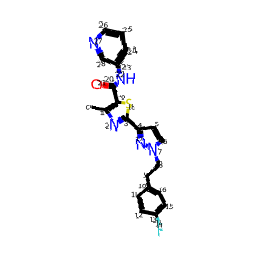 Cc1nc(-c2ccn(CCc3ccc(F)cc3)n2)sc1C(=O)Nc1cccnc1